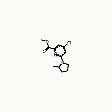 COC(=O)c1cc(Cl)cc(N2CCCC2C)n1